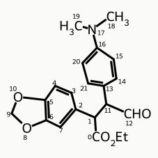 CCOC(=O)C(c1ccc2c(c1)OCO2)C(C=O)c1ccc(N(C)C)cc1